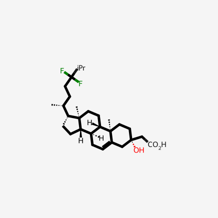 CC(C)C(F)(F)CC[C@@H](C)[C@H]1CC[C@H]2[C@@H]3CC=C4C[C@](O)(CC(=O)O)CC[C@]4(C)[C@H]3CC[C@]12C